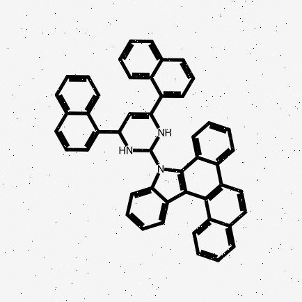 C1=C(c2cccc3ccccc23)NC(n2c3ccccc3c3c4c5ccccc5ccc4c4ccccc4c32)NC1c1cccc2ccccc12